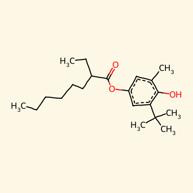 CCCCCCC(CC)C(=O)Oc1cc(C)c(O)c(C(C)(C)C)c1